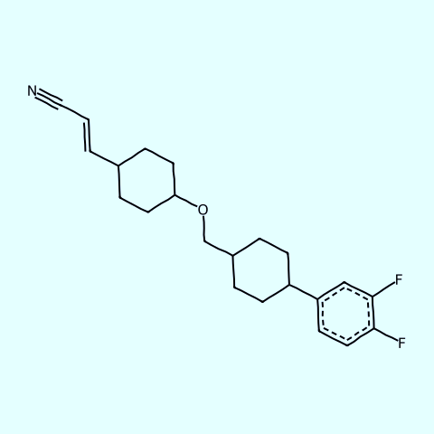 N#CC=CC1CCC(OCC2CCC(c3ccc(F)c(F)c3)CC2)CC1